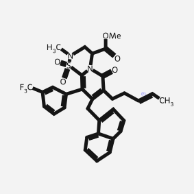 C/C=C/CCc1c(Cc2cccc3ccccc23)c(-c2cccc(C(F)(F)F)c2)c2n(c1=O)C(C(=O)OC)CN(C)S2(=O)=O